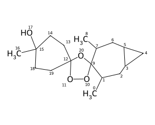 CC1CC2CC2CC(C)C12OOC1(CCC(C)(O)CC1)O2